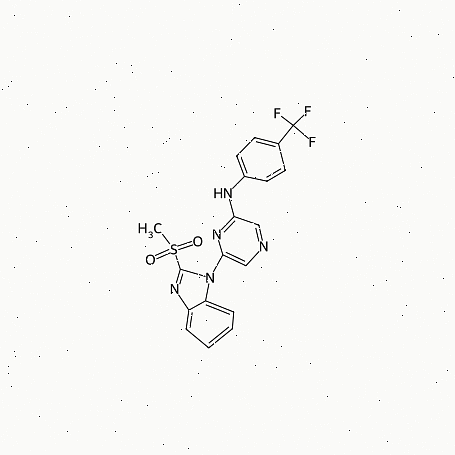 CS(=O)(=O)c1nc2ccccc2n1-c1cncc(Nc2ccc(C(F)(F)F)cc2)n1